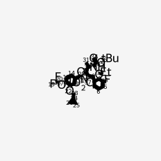 CCOC1C(F)=CC=C[C@]1(Cc1nc(-c2ccc(OC(F)F)c(OCC3CC3)c2)oc1C(C)NC(=O)OC(C)(C)C)C(=O)O